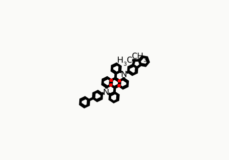 CC1(C)c2ccccc2-c2ccc(N(c3ccccc3)c3ccccc3-c3ccc(C4=C(N(c5ccccc5)c5ccc(-c6ccccc6)cc5)CCC=C4)cc3)cc21